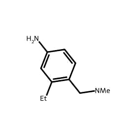 CCc1cc(N)ccc1CNC